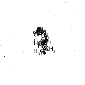 COc1cc(-c2scnc2C)ccc1CNC(=O)[C@@H]1C[C@@H](O)CN1C(=O)[C@@H](c1cc(OCCN2CCC(OC3CC(Oc4cc(N5C6CC[C@@H]5CN(c5cc(-c7ccccc7O)nnc5N)C6)ccn4)C3)CC2)no1)C(C)C